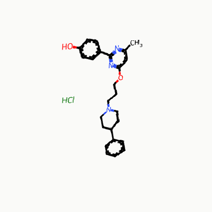 Cc1cc(OCCCN2CCC(c3ccccc3)CC2)nc(-c2ccc(O)cc2)n1.Cl